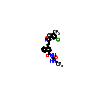 O=C(CNC(=O)c1ccc(CCC2=NOC(c3cc(Cl)cc(C(F)(F)F)c3)(C(F)(F)F)C2)c2ccccc12)NCC(F)(F)F